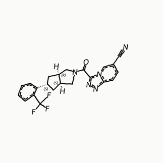 N#Cc1ccc2nnc(C(=O)N3C[C@H]4C[C@H](c5ccccc5C(F)(F)F)C[C@H]4C3)n2c1